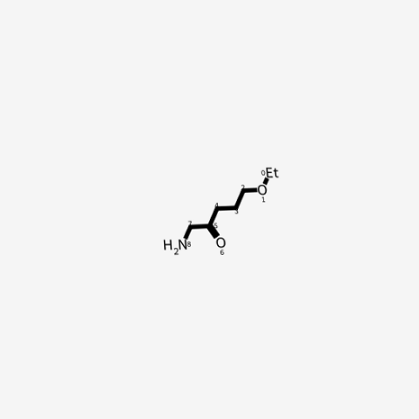 CCOCCCC(=O)CN